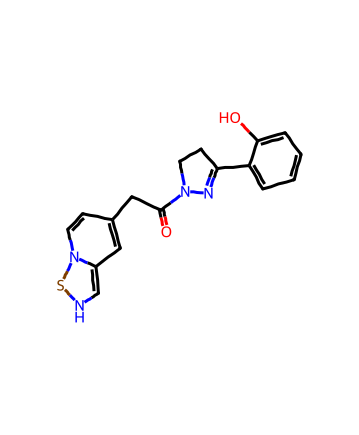 O=C(CC1=CC2=CNSN2C=C1)N1CCC(c2ccccc2O)=N1